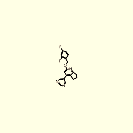 Fc1ccc(COc2cc(-c3cncnc3)c3c(n2)CCC3)c(F)c1